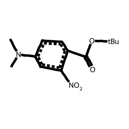 CN(C)c1ccc(C(=O)OC(C)(C)C)c([N+](=O)[O-])c1